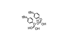 CC(C)(C)c1ccc(OP(O)O)cc1.CC(C)(C)c1ccc(OP(O)O)cc1